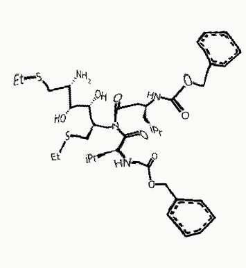 CCSC[C@H](N)[C@@H](O)[C@H](O)[C@H](CSCC)N(C(=O)[C@@H](NC(=O)OCc1ccccc1)C(C)C)C(=O)[C@@H](NC(=O)OCc1ccccc1)C(C)C